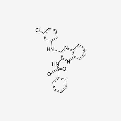 O=S(=O)(Nc1nc2ccccc2nc1Nc1cccc(Cl)c1)c1ccccc1